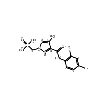 O=C(Nc1ccc(F)cc1Cl)c1nn(CP(=O)(O)O)nc1Cl